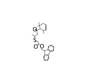 CC(CC(=O)C1C(C)C=CCC1(C)C)SCC(=O)OCC1c2ccccc2-c2ccccc21